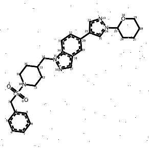 O=S(=O)(Cc1ccccc1)N1CCC(Cn2ncc3cc(-c4cnn(C5CCCCO5)c4)ccc32)CC1